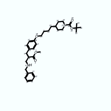 COC(=O)C(CNCc1ccccc1)Cc1ccc(OCCCCC2CCN(C(=O)OC(C)(C)C)CC2)cc1